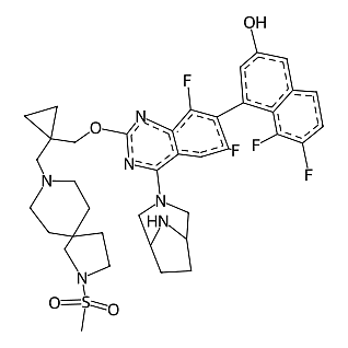 CS(=O)(=O)N1CCC2(CCN(CC3(COc4nc(N5CC6CCC(C5)N6)c5cc(F)c(-c6cc(O)cc7ccc(F)c(F)c67)c(F)c5n4)CC3)CC2)C1